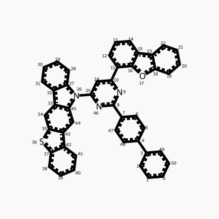 c1ccc(-c2ccc(-c3nc(-c4cccc5c4oc4ccccc45)cc(-n4c5ccccc5c5cc6sc7ccccc7c6cc54)n3)cc2)cc1